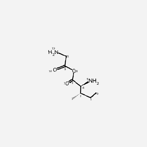 CC[C@H](C)[C@H](N)C(=O)OC(=O)CN